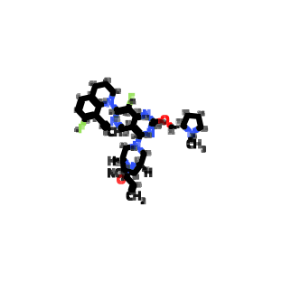 C#Cc1c(F)ccc2c1N(c1ncc3c(N4C[C@H]5CC(C#N)[C@@H](C4)N5C(=O)C=C)nc(OC[C@@H]4CCCN4C)nc3c1F)CCC2